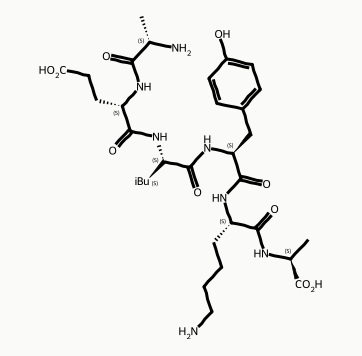 CC[C@H](C)[C@H](NC(=O)[C@H](CCC(=O)O)NC(=O)[C@H](C)N)C(=O)N[C@@H](Cc1ccc(O)cc1)C(=O)N[C@@H](CCCCN)C(=O)N[C@@H](C)C(=O)O